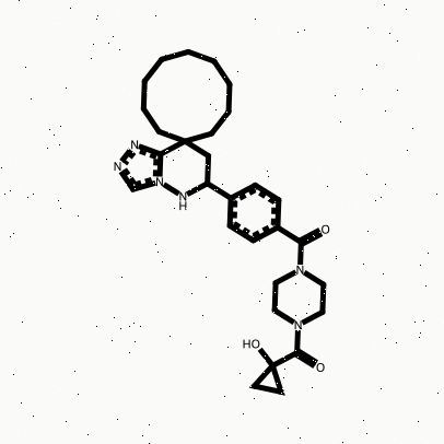 O=C(c1ccc(C2CC3(CCCCCCCCC3)c3nncn3N2)cc1)N1CCN(C(=O)C2(O)CC2)CC1